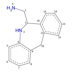 NCC1Nc2ccccc2Cc2ccccc21